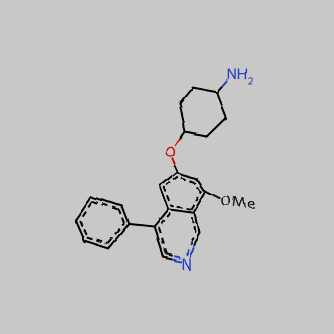 COc1cc(OC2CCC(N)CC2)cc2c(-c3ccccc3)cncc12